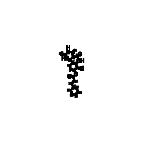 CC1=C(C(=O)O)C(c2ccc(OC(=O)/C=C/c3ccccc3)c(Cl)c2)NC(=S)N1